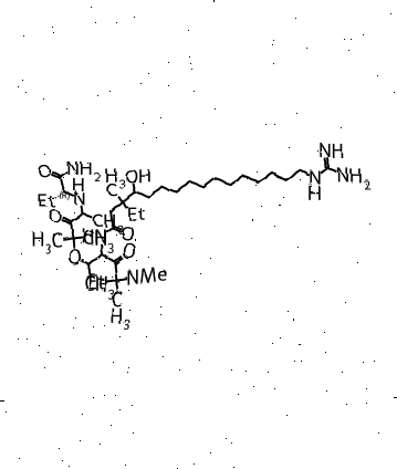 CC[C@@H](NC(C)C(=O)C(C)(C)OC(C)C(NC(=O)CC(C)(CC)C(O)CCCCCCCCCCCCNC(=N)N)C(=O)C(C)(CC)NC)C(N)=O